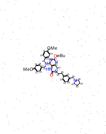 CCCCOc1nc2c(c(N(Cc3ccc(OC)cc3)Cc3ccc(OC)cc3)n1)NC(=O)N(CCc1cccc(CN3CCCC3)c1)C2